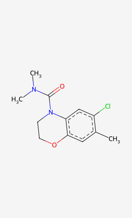 Cc1cc2c(cc1Cl)N(C(=O)N(C)C)CCO2